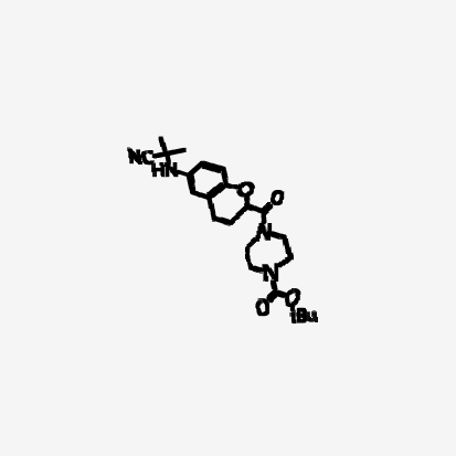 CC(C)(C#N)Nc1ccc2c(c1)CCC(C(=O)N1CCN(C(=O)OC(C)(C)C)CC1)O2